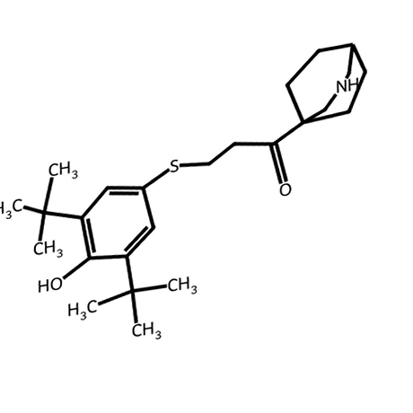 CC(C)(C)c1cc(SCCC(=O)C23CCC(CC2)CNC3)cc(C(C)(C)C)c1O